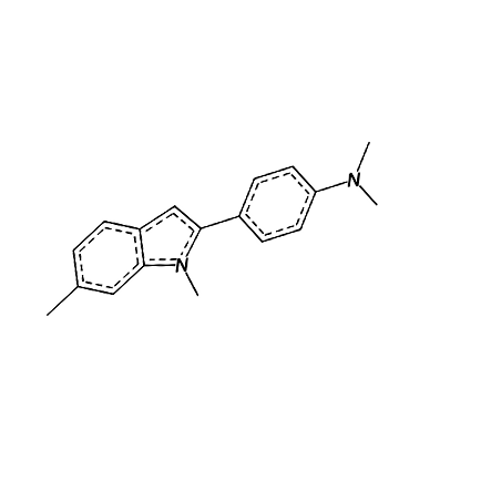 Cc1ccc2cc(-c3ccc(N(C)C)cc3)n(C)c2c1